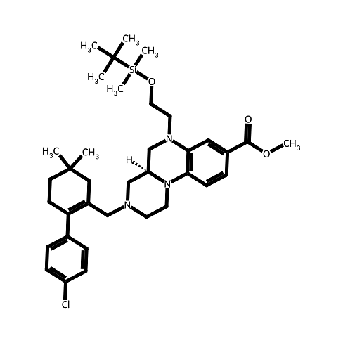 COC(=O)c1ccc2c(c1)N(CCO[Si](C)(C)C(C)(C)C)C[C@@H]1CN(CC3=C(c4ccc(Cl)cc4)CCC(C)(C)C3)CCN21